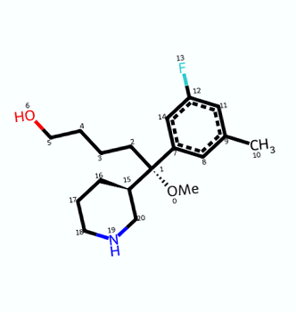 CO[C@](CCCCO)(c1cc(C)cc(F)c1)[C@@H]1CCCNC1